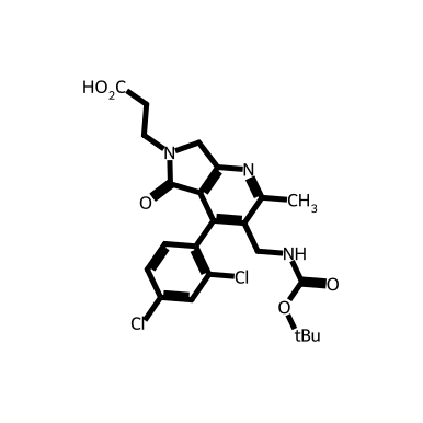 Cc1nc2c(c(-c3ccc(Cl)cc3Cl)c1CNC(=O)OC(C)(C)C)C(=O)N(CCC(=O)O)C2